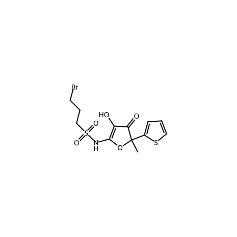 CC1(c2cccs2)OC(NS(=O)(=O)CCCBr)=C(O)C1=O